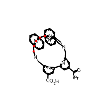 CC(C)C(=O)c1cc2nc(c1)-c1cc(C(=O)O)cc(n1)C[N@]1Cc3cccc(n3)-c3cccc(n3)C[N@@](Cc3cccc(n3)-c3cccc(n3)C1)C2